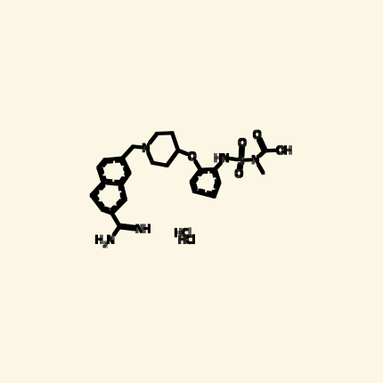 CN(C(=O)O)S(=O)(=O)Nc1ccccc1OC1CCN(Cc2ccc3ccc(C(=N)N)cc3c2)CC1.Cl.Cl